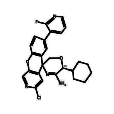 NC1=NC2(CO[C@H]1C1CCCCC1)c1cc(-c3cccnc3F)ccc1Oc1cnc(Cl)cc12